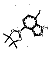 CC1(C)OB(c2ccc(F)c3[nH]ncc23)OC1(C)C